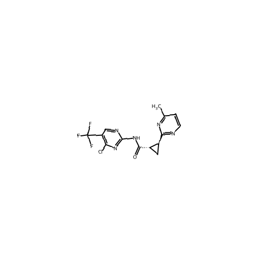 Cc1ccnc([C@H]2C[C@@H]2C(=O)Nc2ncc(C(F)(F)F)c(Cl)n2)n1